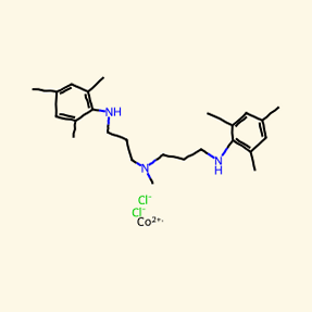 Cc1cc(C)c(NCCCN(C)CCCNc2c(C)cc(C)cc2C)c(C)c1.[Cl-].[Cl-].[Co+2]